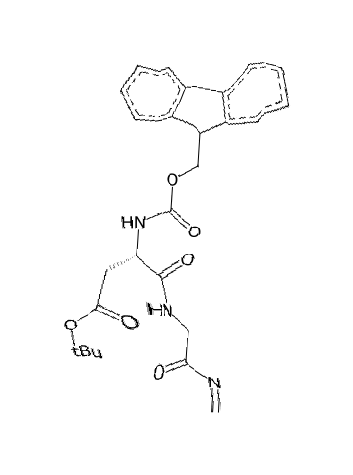 C=NC(=O)CNC(=O)[C@H](CC(=O)OC(C)(C)C)NC(=O)OCC1c2ccccc2-c2ccccc21